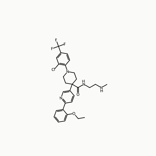 CCOc1ccccc1-c1ccc(C2(C(=O)NCCNC)CCN(c3ccc(C(F)(F)F)cc3Cl)CC2)cn1